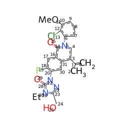 C=C(C)c1cn(-c2cccc(OC)c2Cl)c(=O)c2cc(F)c(-n3nc(CO)n(CC)c3=O)cc12